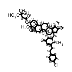 CC(C)C1=C2[C@H]3CC[C@H]4[C@@]5(C)CC[C@H](OC(=O)CC(C)(C)C(=O)O)C(C)(C)[C@H]5CC[C@@]4(C)[C@]3(C)CC[C@@]2(Cc2cc(=O)cc(CCc3ccc(Cl)cc3)n2C)CC1=O